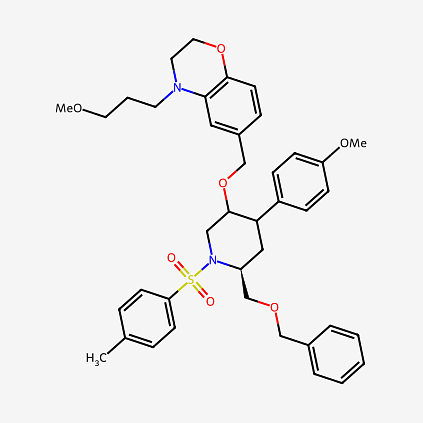 COCCCN1CCOc2ccc(COC3CN(S(=O)(=O)c4ccc(C)cc4)[C@H](COCc4ccccc4)CC3c3ccc(OC)cc3)cc21